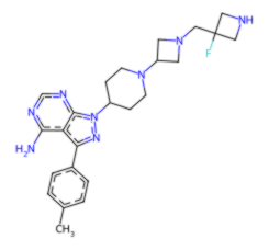 Cc1ccc(-c2nn(C3CCN(C4CN(CC5(F)CNC5)C4)CC3)c3ncnc(N)c23)cc1